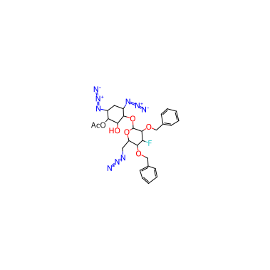 CC(=O)OC1C(N=[N+]=[N-])CC(N=[N+]=[N-])C(OC2OC(CN=[N+]=[N-])C(OCc3ccccc3)C(F)C2OCc2ccccc2)C1O